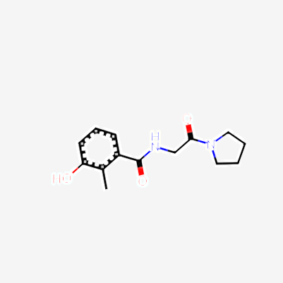 Cc1c(O)cccc1C(=O)NCC(=O)N1CCCC1